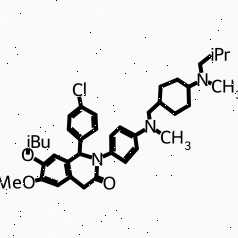 CCC(C)Oc1cc2c(cc1OC)CC(=O)N(c1ccc(N(C)CC3CCC(N(C)CC(C)C)CC3)cc1)C2c1ccc(Cl)cc1